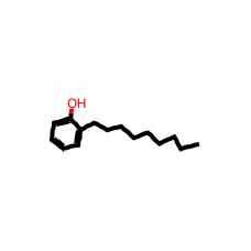 CCCCCCCCCc1c[c]ccc1O